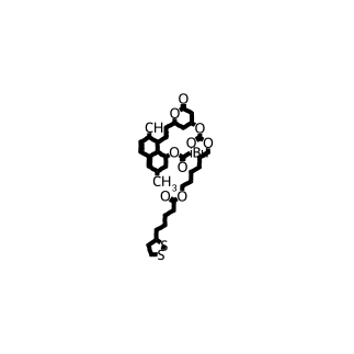 CCC(C)C(=O)OC1CC(C)C=C2C=CC(C)C(CCC3CC(OC(=O)OCCCCCCOC(=O)CCCCC4CCSS4)CC(=O)O3)C21